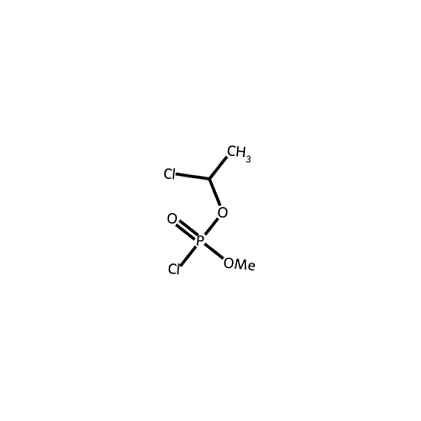 COP(=O)(Cl)OC(C)Cl